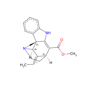 C/C=C1/[C@@H]2CCN3CC[C@@]4(C(=C2C(=O)OC)Nc2ccccc24)[C@@H]13